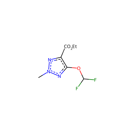 CCOC(=O)c1nn(C)nc1OC(F)F